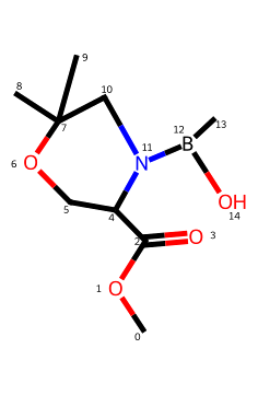 COC(=O)C1COC(C)(C)CN1B(C)O